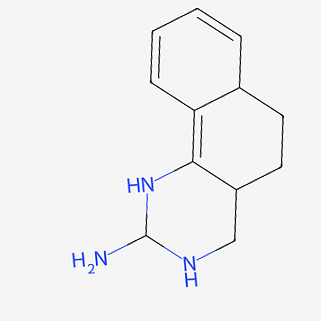 NC1NCC2CCC3C=CC=CC3=C2N1